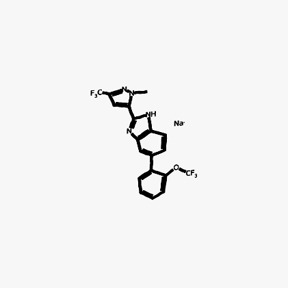 Cn1nc(C(F)(F)F)cc1-c1nc2cc(-c3ccccc3OC(F)(F)F)ccc2[nH]1.[Na]